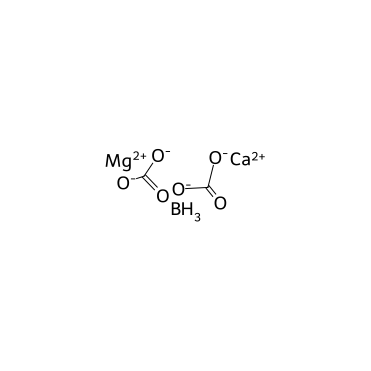 B.O=C([O-])[O-].O=C([O-])[O-].[Ca+2].[Mg+2]